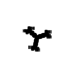 O=C(O)c1cc(C(=O)O)cc(-c2ccc(-c3ccc(-c4cc(-c5ccc(-c6ccc(-c7cc(C(=O)O)cc(C(=O)O)c7)cc6)cc5)cc(-c5ccc(-c6ccc(-c7cc(C(=O)O)cc(C(=O)O)c7)cc6)cc5)c4)cc3)cc2)c1